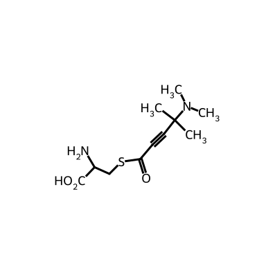 CN(C)C(C)(C)C#CC(=O)SCC(N)C(=O)O